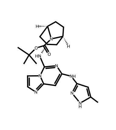 Cc1cc(Nc2cc3nccn3c(N[C@@H]3C[C@H]4CC[C@@H](C3)N4C(=O)OC(C)(C)C)n2)n[nH]1